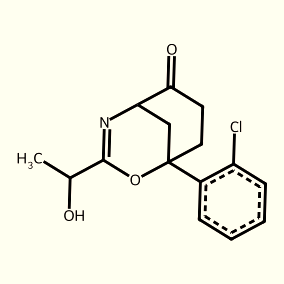 CC(O)C1=NC2CC(c3ccccc3Cl)(CCC2=O)O1